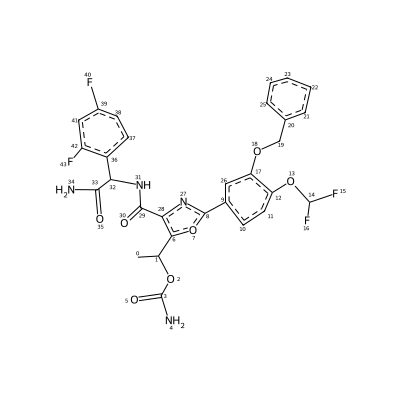 CC(OC(N)=O)c1oc(-c2ccc(OC(F)F)c(OCc3ccccc3)c2)nc1C(=O)NC(C(N)=O)c1ccc(F)cc1F